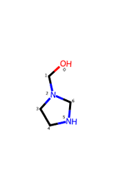 OCN1CCNC1